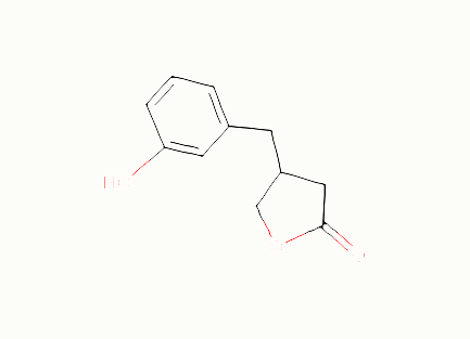 O=C1CC(Cc2cccc(O)c2)CO1